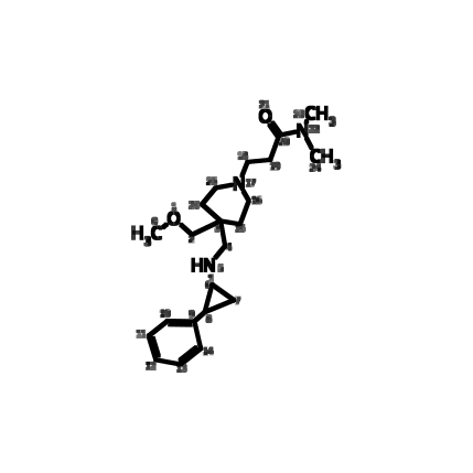 COCC1(CN[C@@H]2CC2c2ccccc2)CCN(CCC(=O)N(C)C)CC1